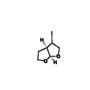 IC1CO[C@H]2OCC[C@@H]12